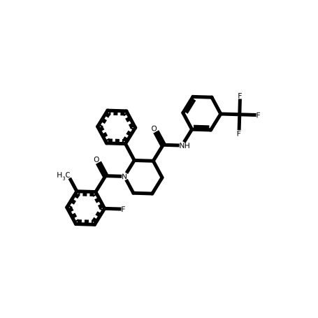 Cc1cccc(F)c1C(=O)N1CCCC(C(=O)NC2=CC(C(F)(F)F)CC=C2)C1c1ccccc1